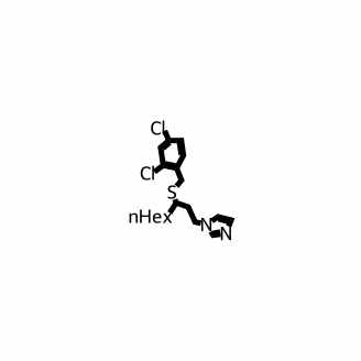 CCCCCCC(CCn1ccnc1)SCc1ccc(Cl)cc1Cl